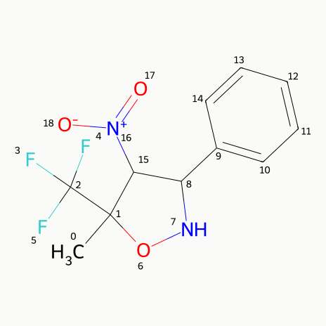 CC1(C(F)(F)F)ONC(c2ccccc2)C1[N+](=O)[O-]